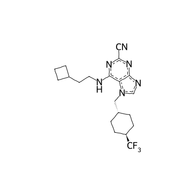 N#Cc1nc(NCCC2CCC2)c2c(ncn2C[C@H]2CC[C@H](C(F)(F)F)CC2)n1